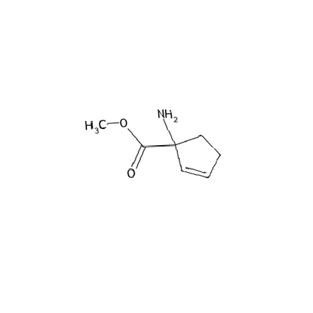 COC(=O)C1(N)C=CCC1